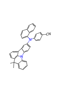 CC1(C)c2ccccc2-n2c3ccc(N(c4ccc(C#N)cc4)c4cccc5ccccc45)cc3c3cccc1c32